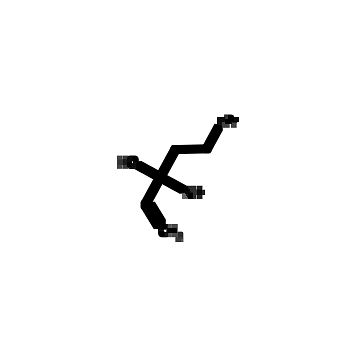 C=CC([NH])(O)CCCCC